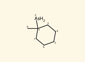 CC1([AsH2])CCCCC1